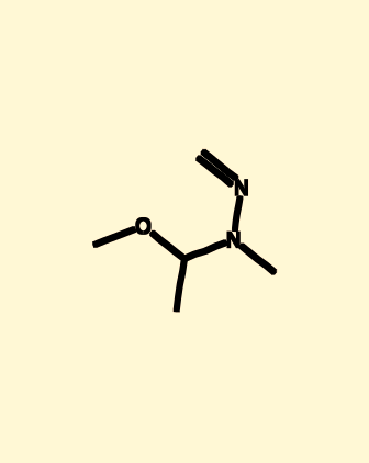 C=NN(C)C(C)OC